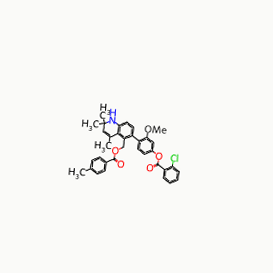 COc1cc(OC(=O)c2ccccc2Cl)ccc1-c1ccc2c(c1COC(=O)c1ccc(C)cc1)C(C)=CC(C)(C)N2